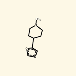 CN1CCC(c2cnco2)CC1